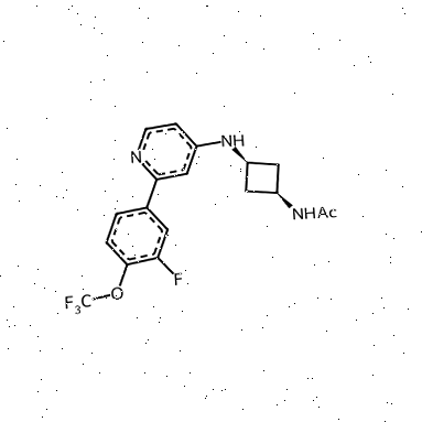 CC(=O)N[C@H]1C[C@@H](Nc2ccnc(-c3ccc(OC(F)(F)F)c(F)c3)c2)C1